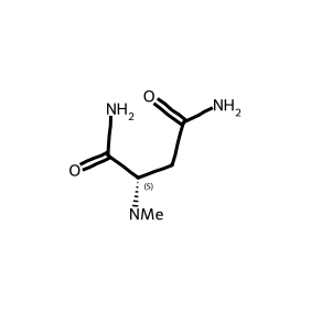 CN[C@@H](CC(N)=O)C(N)=O